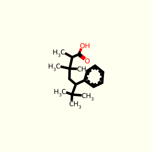 CC(C(=O)O)C(C)(C)CC(c1ccccc1)C(C)(C)C